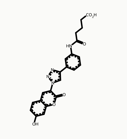 O=C(O)CCCC(=O)Nc1cccc(-c2cn(-c3cc4ccc(O)cc4oc3=O)nn2)c1